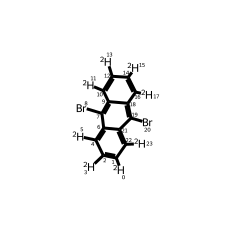 [2H]c1c([2H])c([2H])c2c(Br)c3c([2H])c([2H])c([2H])c([2H])c3c(Br)c2c1[2H]